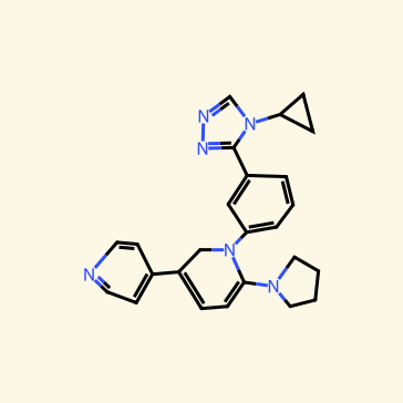 C1=C(c2ccncc2)CN(c2cccc(-c3nncn3C3CC3)c2)C(N2CCCC2)=C1